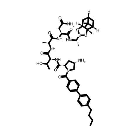 CCCCc1ccc(-c2ccc(C(=O)N3C[C@@H](N)C[C@H]3C(=O)N[C@H](C(=O)N[C@@H](C)C(=O)N[C@@H](CC(N)=O)C(=O)N[C@@H](C)B3O[C@@H]4C[C@@H]5C[C@@H](C5(C)C)[C@]4(C)O3)C(C)O)cc2)cc1